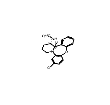 O=CN[C@H]1CCCN2c3cc(Cl)ccc3Oc3ccccc3[C@@H]12